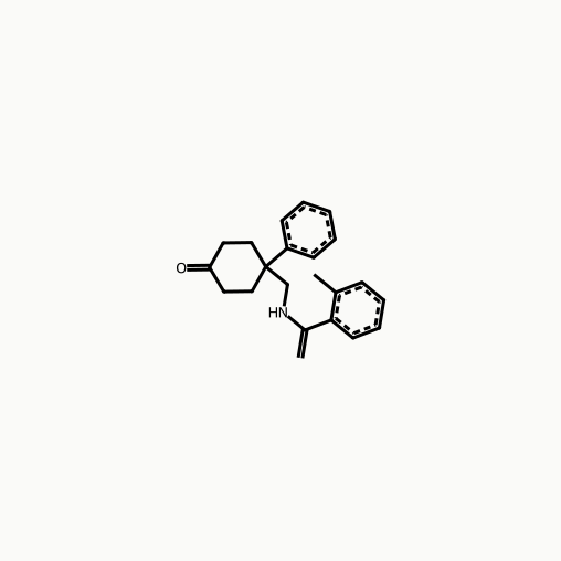 C=C(NCC1(c2ccccc2)CCC(=O)CC1)c1ccccc1C